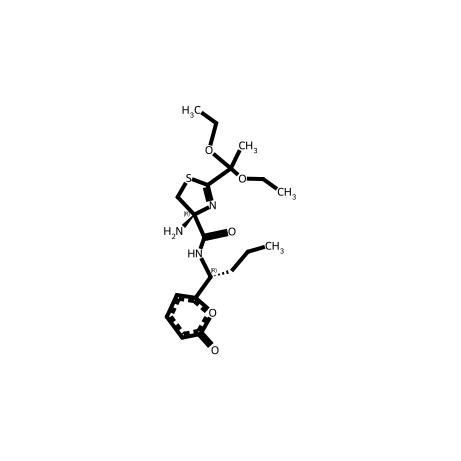 CCC[C@@H](NC(=O)[C@]1(N)CSC(C(C)(OCC)OCC)=N1)c1cccc(=O)o1